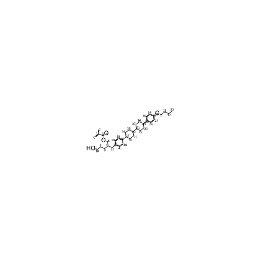 C=C(C)C(=O)OCC(CCCO)Cc1ccc(C2CCC(C3CCC(c4ccc(OCCCC)cc4)CC3)CC2)cc1